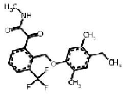 CCc1cc(C)c(OCc2c(C(=O)C(=O)NC)cccc2C(F)(F)F)cc1C